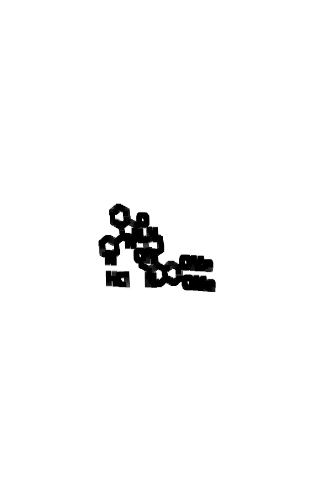 COc1cc2cnc(CO)c(-c3ccnc(-n4nc(-c5cccnc5)c5ccccc5c4=O)c3)c2cc1OC.Cl